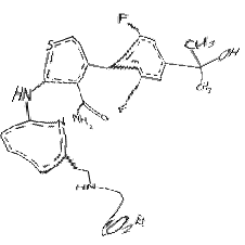 CCOC(=O)CNCc1cccc(Nc2scc(-c3c(F)cc(C(C)(C)O)cc3F)c2C(N)=O)n1